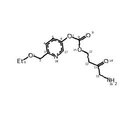 CCOCc1ccc(OC(=O)OCCC(=O)CN)cn1